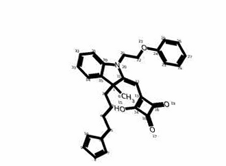 CC1(CCCCC2C=CC=C2)/C(=C\c2c(O)c(=O)c2=O)N(CCOc2ccccc2)c2ccccc21